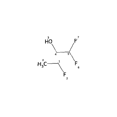 CCF.OCC(F)F